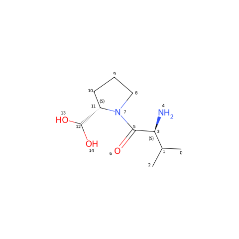 CC(C)[C@H](N)C(=O)N1CCC[C@H]1C(O)O